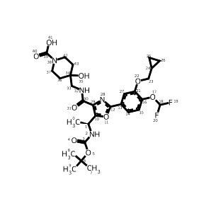 C[C@H](NC(=O)OC(C)(C)C)c1oc(-c2ccc(OC(F)F)c(OCC3CC3)c2)nc1C(=O)NCC1(O)CCN(C(=O)O)CC1